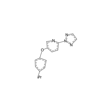 CC(C)c1ccc(Oc2ccc(-n3nccn3)nc2)cc1